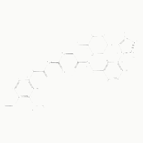 COc1ccc(CC(=O)NC(=N)N[C@H](CC2CCCCC2)C(=O)NCc2cccc(-n3cncn3)c2)cc1OC